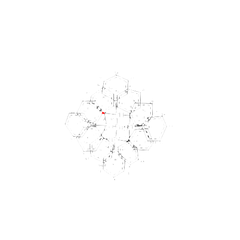 c1ccc([PH](c2ccccc2)(c2ccccc2)[RhH]([PH](c2ccccc2)(c2ccccc2)c2ccccc2)([PH](c2ccccc2)(c2ccccc2)c2ccccc2)[PH](c2ccccc2)(c2ccccc2)c2ccccc2)cc1